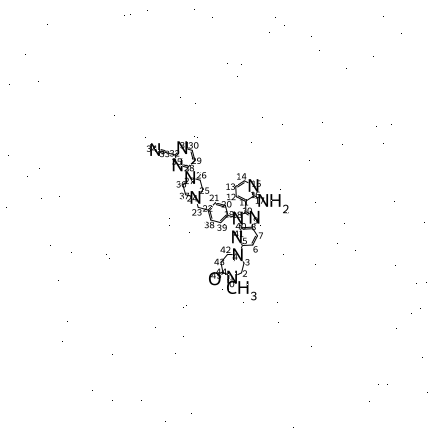 CN1CCN(c2ccc3nc(-c4cccnc4N)n(-c4ccc(CN5CCN(c6ccnc(C#N)n6)CC5)cc4)c3n2)CCC1=O